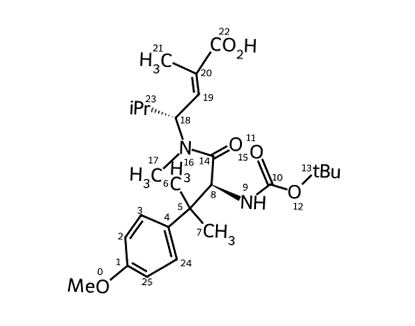 COc1ccc(C(C)(C)[C@H](NC(=O)OC(C)(C)C)C(=O)N(C)[C@@H](/C=C(\C)C(=O)O)C(C)C)cc1